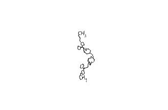 CCCCOC(=O)N1CCC(CN2CCN(CC(=O)OCC)CC2)CC1